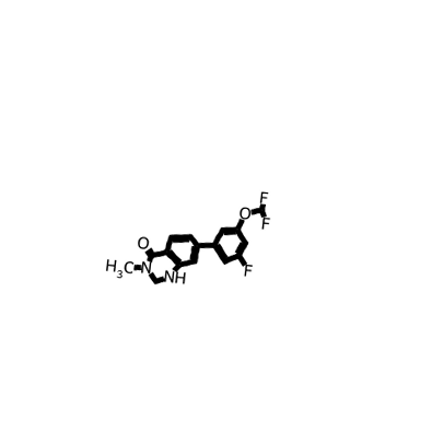 CN1CNc2cc(-c3cc(F)cc(OC(F)F)c3)ccc2C1=O